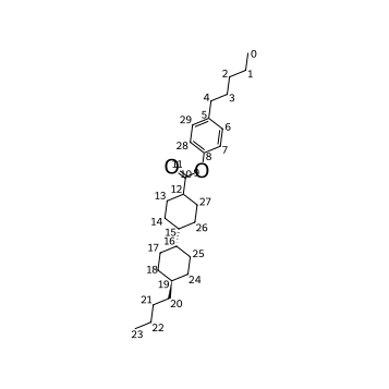 CCCCCc1ccc(OC(=O)C2CCC([C@H]3CC[C@H](CCCC)CC3)CC2)cc1